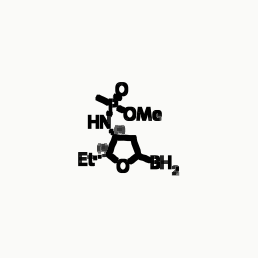 BC1C[C@@H](NP(C)(=O)OC)[C@@H](CC)O1